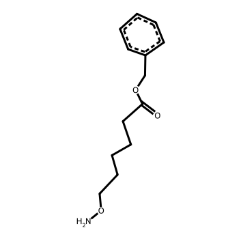 NOCCCCCC(=O)OCc1ccccc1